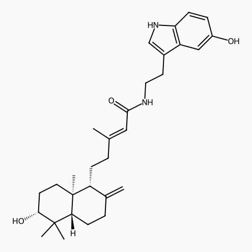 C=C1CC[C@@H]2C(C)(C)[C@H](O)CC[C@@]2(C)[C@@H]1CC/C(C)=C/C(=O)NCCc1c[nH]c2ccc(O)cc12